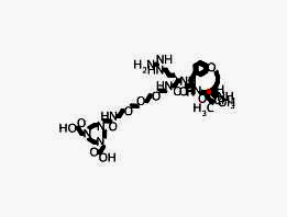 CC(C)C[C@H]1C(=O)N[C@H](C(=O)N[C@@H](CCCNC(=N)N)C(=O)NCCOCCOCCOCCNC(=O)CN2CCN(CC(=O)O)CCN(CC(=O)O)CC2)Cc2ccc(cc2)OCCC[C@@H]1C(=O)NO